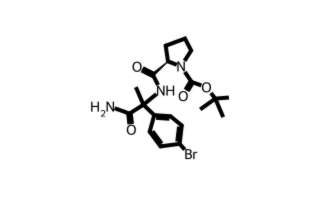 CC(C)(C)OC(=O)N1CCC[C@@H]1C(=O)NC(C)(C(N)=O)c1ccc(Br)cc1